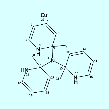 CC1(N(C2(C)C=CC=CN2)C2(C)C=CC=CN2)C=CC=CN1.[Cu]